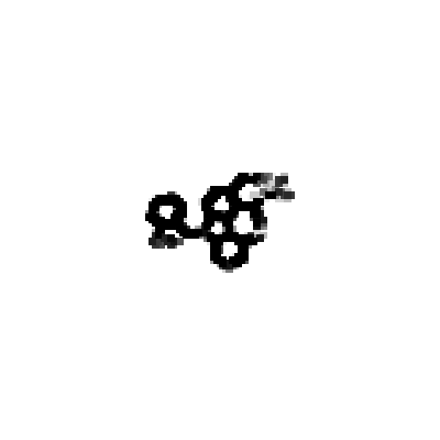 COc1ccccc1CN1C2=CN=CC(=O)C2c2c1ccc(CC(=O)O)c2C(=O)NO